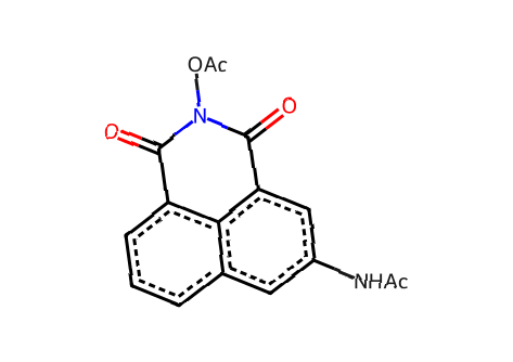 CC(=O)Nc1cc2c3c(cccc3c1)C(=O)N(OC(C)=O)C2=O